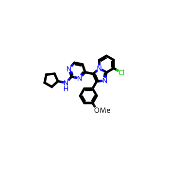 COc1cccc(-c2nc3c(Cl)cccn3c2-c2ccnc(NC3CCCC3)n2)c1